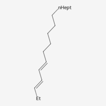 [CH2]CC=CC=CCCCCCCCCCCCC